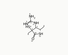 CCC(NC(=N)N)C(C)(S)C(=O)S